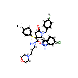 Cc1ccc(SC2(C(=O)NCCCN3CCOCC3)CC(=O)N(Cc3ccc(Cl)cc3)[C@H]2c2n[nH]c3cc(Cl)ccc23)cc1